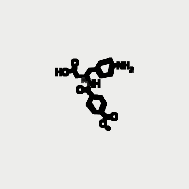 COC(=O)c1ccc(C(=O)N[C@@H](CC(=O)O)Cc2ccc(N)cc2)cc1